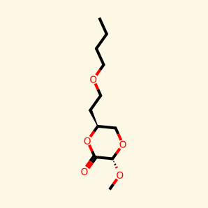 CCCCOCC[C@H]1CO[C@H](OC)C(=O)O1